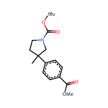 COC(=O)c1ccc(C2(C)CCN(C(=O)OC(C)(C)C)C2)cc1